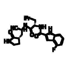 CC(C)C[C@H](NC(=O)c1cc2c(F)cccc2[nH]1)C(=O)N[C@H](C#N)C[C@@H]1CCNC1=O